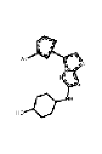 CC(=O)c1cccc(-c2cnc3sc(NC4CCC(O)CC4)nn23)c1